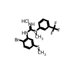 CSc1ccc(Br)c(NC(=N)N(C)c2cccc(C(F)(F)F)c2)c1.Cl